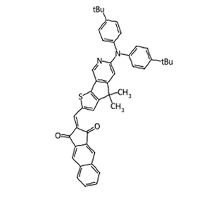 CC(C)(C)c1ccc(N(c2ccc(C(C)(C)C)cc2)c2cc3c(cn2)-c2sc(C=C4C(=O)c5cc6ccccc6cc5C4=O)cc2C3(C)C)cc1